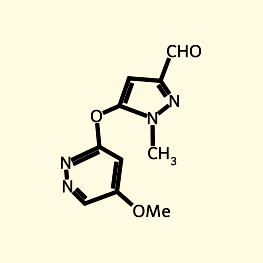 COc1cnnc(Oc2cc(C=O)nn2C)c1